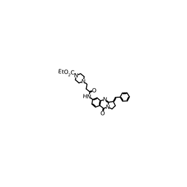 CCOC(=O)N1CCN(CCC(=O)Nc2ccc3c(=O)n4c(nc3c2)C(=Cc2ccccc2)CC4)CC1